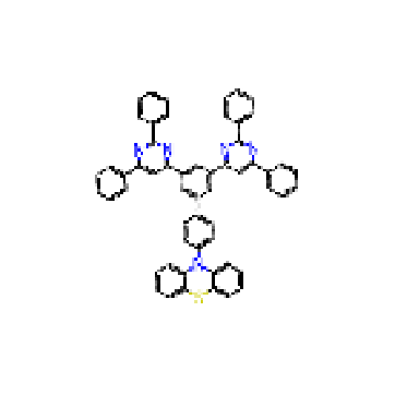 c1ccc(-c2cc(-c3cc(-c4ccc(N5c6ccccc6Sc6ccccc65)cc4)cc(-c4cc(-c5ccccc5)nc(-c5ccccc5)n4)c3)nc(-c3ccccc3)n2)cc1